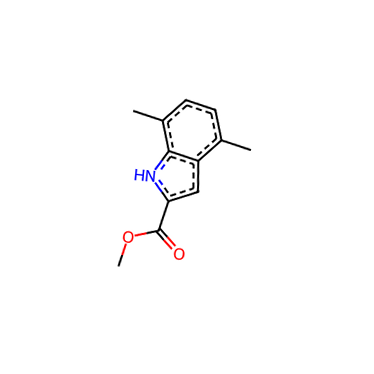 COC(=O)c1cc2c(C)ccc(C)c2[nH]1